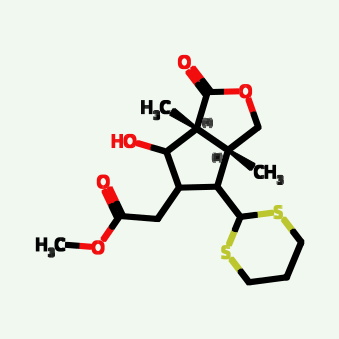 COC(=O)CC1C(O)[C@]2(C)C(=O)OC[C@]2(C)C1C1SCCCS1